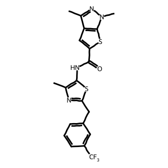 Cc1nc(Cc2cccc(C(F)(F)F)c2)sc1NC(=O)c1cc2c(C)nn(C)c2s1